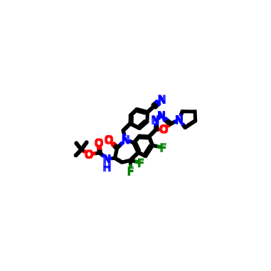 CC(C)(C)OC(=O)NC1CC(F)(F)c2cc(F)c(-c3nnc(N4CCCC4)o3)cc2N(Cc2ccc(C#N)cc2)C1=O